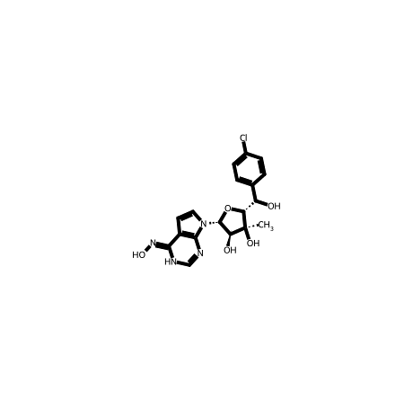 C[C@@]1(O)[C@@H](C(O)c2ccc(Cl)cc2)O[C@@H](n2ccc3/c(=N/O)[nH]cnc32)[C@@H]1O